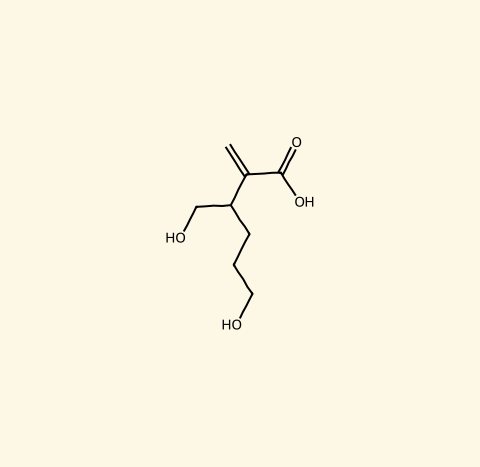 C=C(C(=O)O)C(CO)CCCO